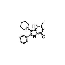 Cc1cc(=O)n2nc(-c3ccccc3)c(N3CCCCC3)c2[nH]1